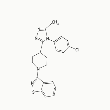 Cc1nnc(C2CCN(c3nsc4ccccc34)CC2)n1-c1ccc(Cl)cc1